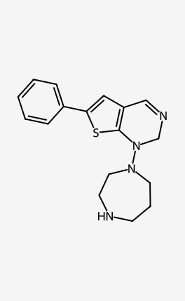 C1=NCN(N2CCCNCC2)c2sc(-c3ccccc3)cc21